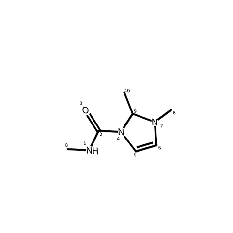 CNC(=O)N1C=CN(C)C1C